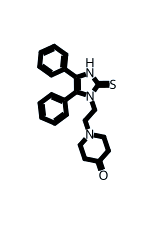 O=C1CCN(CCn2c(-c3ccccc3)c(-c3ccccc3)[nH]c2=S)CC1